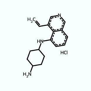 C=Cc1cncc2cccc(NC3CCC(N)CC3)c12.Cl